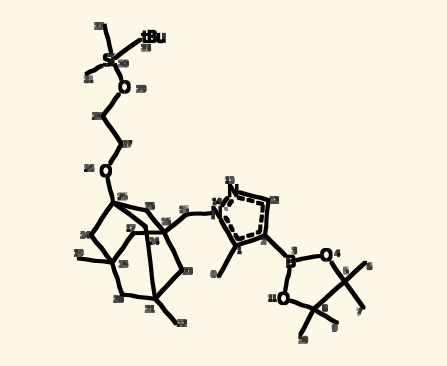 Cc1c(B2OC(C)(C)C(C)(C)O2)cnn1CC12CC3(C)CC(C)(C1)CC(OCCO[Si](C)(C)C(C)(C)C)(C3)C2